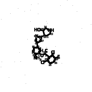 C[C@@H](Oc1cc(-c2cnn([C@@H]3CCNC[C@@H]3O)c2)cnc1N)c1c(Cl)ccc(F)c1Cl